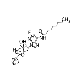 CCCCCCCCC(=O)Nc1nc(F)nc2c1ncn2[C@H]1C[C@H](OC(=O)C23CCC(CC2)CC3)[C@@](C)(CO)O1